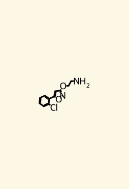 NCCOc1cc(-c2ccccc2Cl)on1